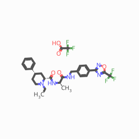 CCN1CC[C@H](c2ccccc2)C[C@@H]1C(=O)N[C@@H](C)C(=O)NCc1ccc(-c2noc(C(F)(F)F)n2)cc1.O=C(O)C(F)(F)F